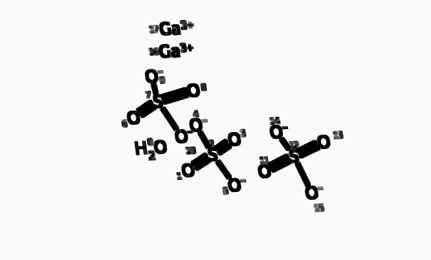 O.O=S(=O)([O-])[O-].O=S(=O)([O-])[O-].O=S(=O)([O-])[O-].[Ga+3].[Ga+3]